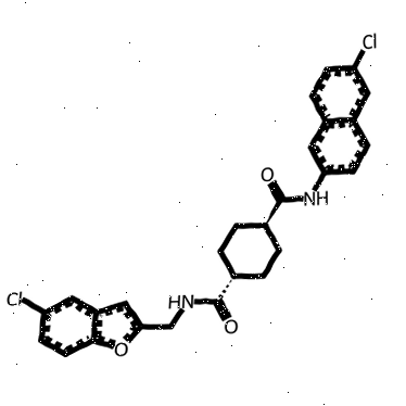 O=C(NCc1cc2cc(Cl)ccc2o1)[C@H]1CC[C@H](C(=O)Nc2ccc3cc(Cl)ccc3c2)CC1